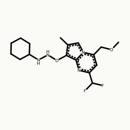 COCc1cc(C(F)F)nc2c(ONNC3CCCCC3)c(C)cn12